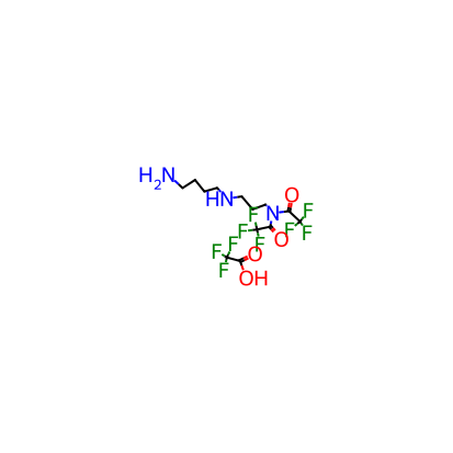 NCCCCNCCCN(C(=O)C(F)(F)F)C(=O)C(F)(F)F.O=C(O)C(F)(F)F